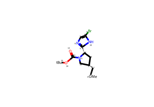 COC[C@H]1C[C@@H](c2ncc(Br)[nH]2)N(C(=O)OC(C)(C)C)C1